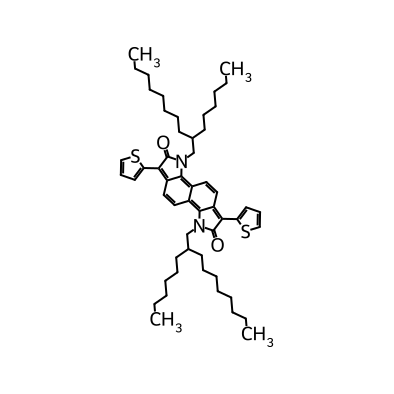 CCCCCCCCC(CCCCCC)CN1C(=O)C(c2cccs2)=c2ccc3c4c(ccc3c21)=C(c1cccs1)C(=O)N4CC(CCCCCC)CCCCCCCC